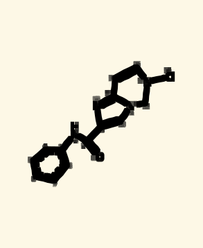 O=C(Nc1ccccc1)C1=C[N+]2CN(Cl)C=CC2=N1